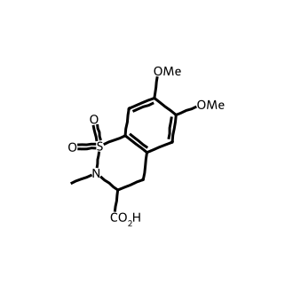 COc1cc2c(cc1OC)S(=O)(=O)N(C)C(C(=O)O)C2